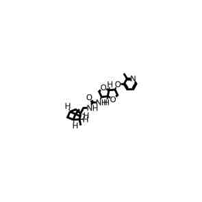 Cc1ncccc1O[C@H]1CO[C@H]2[C@@H]1OC[C@@H]2NC(=O)NC[C@@H]1C[C@@H]2C[C@H]([C@H]1C)C2(C)C